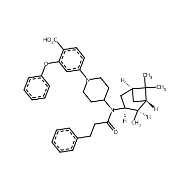 C[C@H]1[C@@H](N(C(=O)CCc2ccccc2)C2CCN(c3ccc(C(=O)O)c(Oc4ccccc4)c3)CC2)C[C@@H]2C[C@@H]1C2(C)C